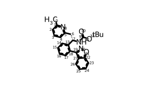 Cc1cccc(C[C@H](NC(=O)OC(C)(C)C)c2ccccc2-c2noc3ccccc23)n1